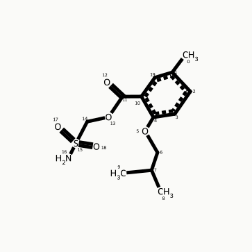 Cc1ccc(OCC(C)C)c(C(=O)OCS(N)(=O)=O)c1